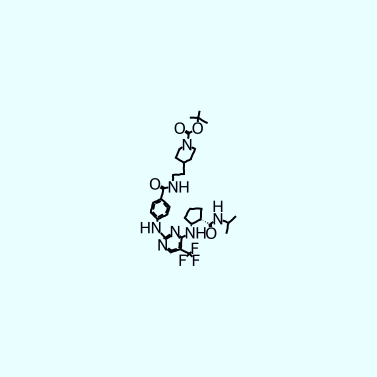 CC(C)NC(=O)[C@H]1CCC[C@H]1Nc1nc(Nc2ccc(C(=O)NCCC3CCN(C(=O)OC(C)(C)C)CC3)cc2)ncc1C(F)(F)F